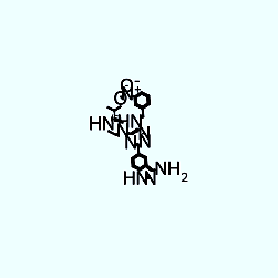 CC(C)[C@H]1CN(c2nc(-c3ccc4[nH]nc(N)c4c3)nnc2NCc2cccc([N+](=O)[O-])c2)CCN1